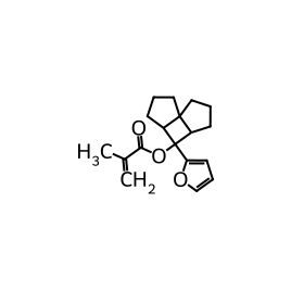 C=C(C)C(=O)OC1(c2ccco2)C2CCCC23CCCC31